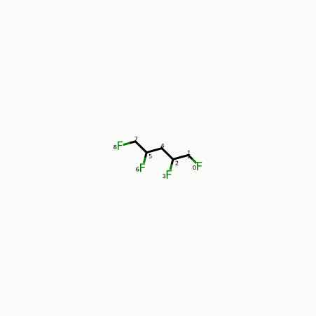 F[CH]C(F)CC(F)CF